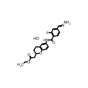 CCOC(=O)CC1CCc2cc(NC(=O)c3ccc(C=NN)cc3F)ccc2O1.Cl